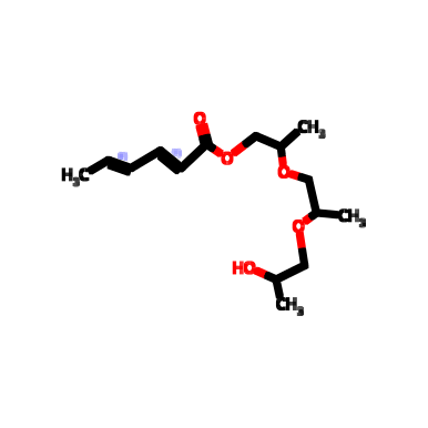 C/C=C/C=C/C(=O)OCC(C)OCC(C)OCC(C)O